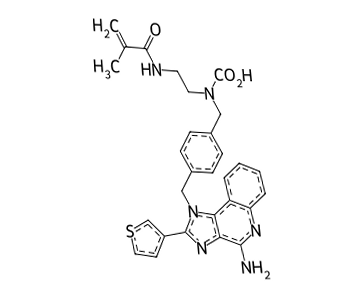 C=C(C)C(=O)NCCN(Cc1ccc(Cn2c(-c3ccsc3)nc3c(N)nc4ccccc4c32)cc1)C(=O)O